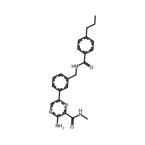 CCCc1ccc(C(=O)NCc2cccc(-c3cnc(N)c(C(=O)NC)n3)c2)cc1